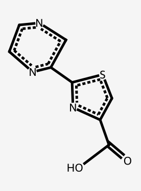 O=C(O)c1csc(-c2cnccn2)n1